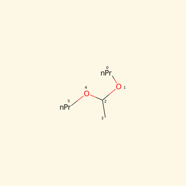 [CH2]CCOC(C)OCCC